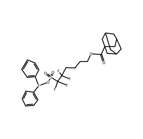 O=C(OCCCCC(F)(F)C(F)(F)S(=O)(=O)O[I+](c1ccccc1)c1ccccc1)C12CC3CC(CC(C3)C1)C2